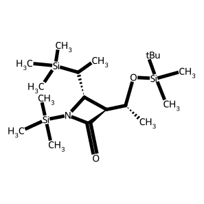 CC([C@@H]1[C@@H]([C@@H](C)O[Si](C)(C)C(C)(C)C)C(=O)N1[Si](C)(C)C)[Si](C)(C)C